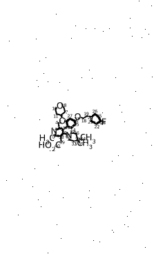 Cc1nc(COC2CCOCC2)c(-c2ccc(OCCc3ccc(F)cc3)cc2)c(N2CCC(C)(C)CC2)c1CC(=O)O